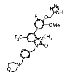 COc1cc(-c2cc(C(F)(F)F)cc3c2n(C)c(=O)n3Cc2cccc(CN3CCOCC3)c2)cc(F)c1OCc1nnc[nH]1